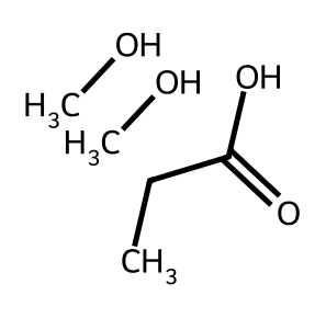 CCC(=O)O.CO.CO